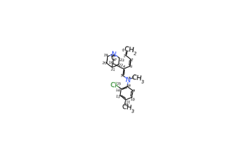 C=C/C=C\C(=C/N(C)c1ccc(C)cc1Cl)C1CN2CCC1CC2